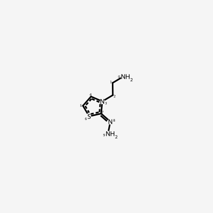 NCCn1ccsc1=NN